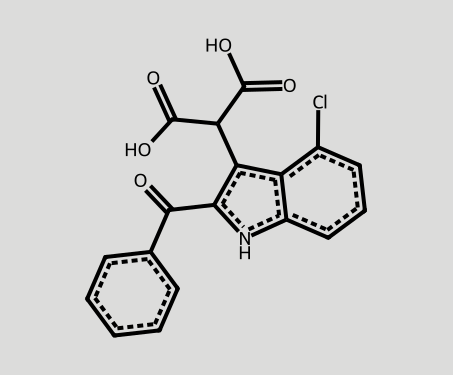 O=C(c1ccccc1)c1[nH]c2cccc(Cl)c2c1C(C(=O)O)C(=O)O